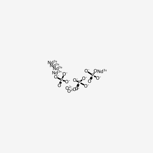 O=P([O-])([O-])[O-].O=P([O-])([O-])[O-].O=P([O-])([O-])[O-].[Nd+3].[Nd+3].[Nd+3].[Nd+3].[Nd+3].[O-2].[O-2].[O-2]